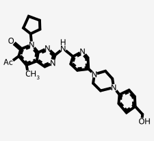 CC(=O)c1c(C)c2cnc(Nc3ccc(N4CCN(c5ccc(CO)cc5)CC4)cn3)nc2n(C2CCCC2)c1=O